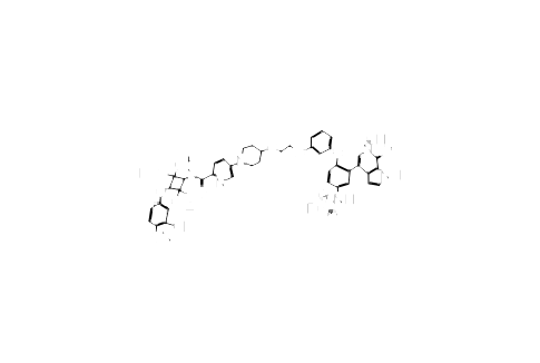 CCS(=O)(=O)Nc1ccc(Oc2cccc(OCCOC3CCN(c4ccc(C(=O)NC5C(C)(C)C(Oc6ccc(C#N)c(Cl)c6)C5(C)C)nc4)CC3)c2)c(-c2cn(C)c(=O)c3[nH]ccc23)c1